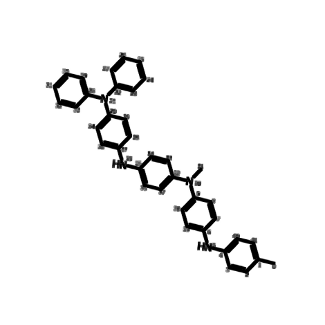 Cc1ccc(Nc2ccc(N(C)c3ccc(Nc4ccc(N(c5ccccc5)c5ccccc5)cc4)cc3)cc2)cc1